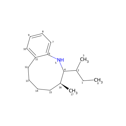 CCC(C)C1Nc2ccccc2CCCC[C@@H]1C